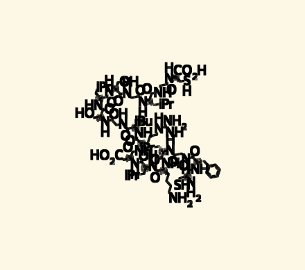 CC[C@H](C)[C@H](NC(=O)[C@H](CCCNC(=N)N)NC(=O)[C@H](CC(=O)O)NC(=O)[C@H](CC(C)C)NC(=O)[C@H](CCCCN)NC(=O)[C@H](CC(C)C)NC(=O)CNC(=O)[C@H](Cc1ccccc1)NC(=O)[C@@H](N)CS)C(=O)NCC(=O)N[C@@H](CO)C(=O)N[C@@H](CC(C)C)C(=O)N[C@@H](CO)C(=O)NCC(=O)N[C@@H](CC(C)C)C(=O)NCC(=O)N[C@@H](CS)C(=O)O